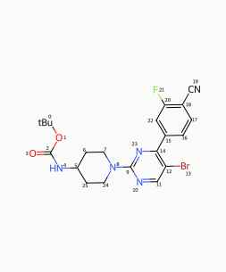 CC(C)(C)OC(=O)NC1CCN(c2ncc(Br)c(-c3ccc(C#N)c(F)c3)n2)CC1